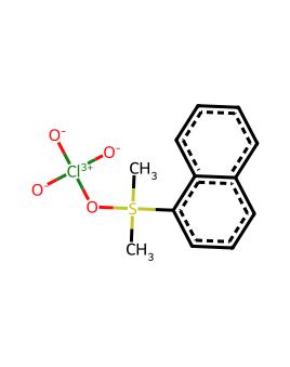 CS(C)(O[Cl+3]([O-])([O-])[O-])c1cccc2ccccc12